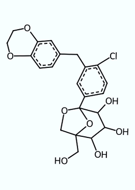 OCC12COC(c3ccc(Cl)c(Cc4ccc5c(c4)OCCO5)c3)(O1)C(O)C(O)C2O